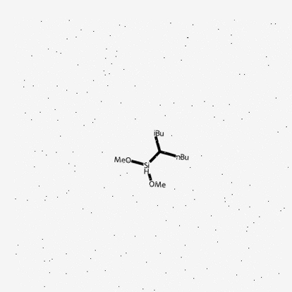 CCCCC(C(C)CC)[SiH](OC)OC